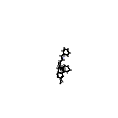 COc1ccc2c(c1)[C@@]13CCCC[C@H]1[C@@H](C2)N(C/C=C/c1ccccc1)CC3